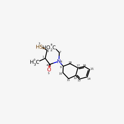 CC(CS)C(=O)N(CC(=O)O)C1CCc2ccccc2C1